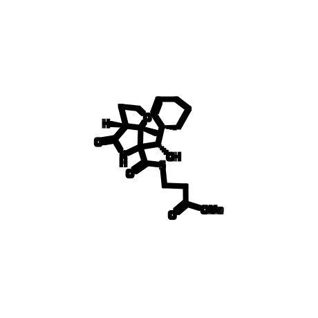 COC(=O)CCSC(=O)C1([C@@H](O)[C@@H]2C=CCCC2)NC(=O)[C@@H]2CCO[C@@]21C